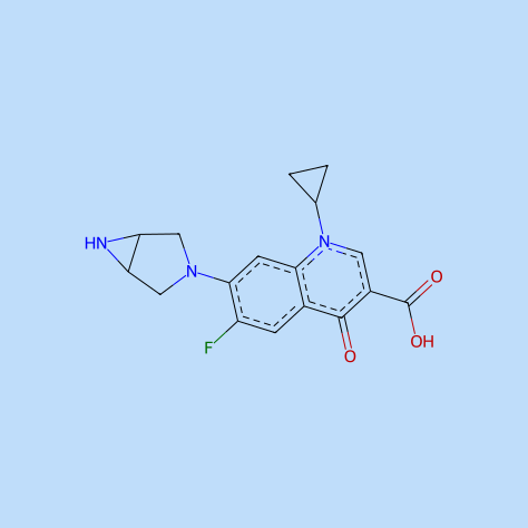 O=C(O)c1cn(C2CC2)c2cc(N3CC4NC4C3)c(F)cc2c1=O